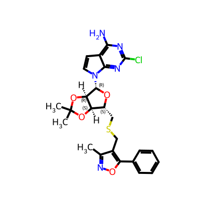 Cc1noc(-c2ccccc2)c1CSC[C@H]1O[C@@H](n2ccc3c(N)nc(Cl)nc32)[C@@H]2OC(C)(C)O[C@@H]21